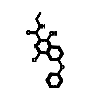 CCNC(=O)c1nc(Cl)c2cc(Oc3ccccc3)ccc2c1O